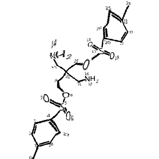 Cc1ccc(S(=O)(=O)OCC(CN)(CN)COS(=O)(=O)c2ccc(C)cc2)cc1